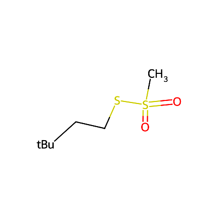 CC(C)(C)CCSS(C)(=O)=O